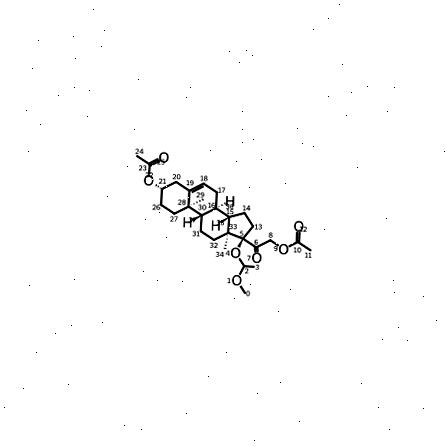 COC(C)O[C@]1(C(=O)COC(C)=O)CC[C@H]2[C@@H]3CC=C4C[C@@H](OC(C)=O)CC[C@]4(C)[C@H]3CC[C@@]21C